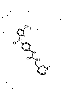 Cc1ccc([S+]([O-])c2ccc(NC(=O)NCc3cccnc3)cc2)s1